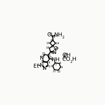 CCn1ncc2c(NC3CCCCC3)c(C3=NOC4(C3)CC(C(N)=O)C4)cnc21.O=C(O)O